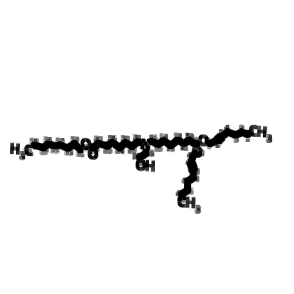 CCCCCC#CCOC(CCCCCCCN(CCO)CCCCCCCC(=O)OCCCCCCCCC)OCC#CCCCCC